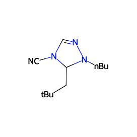 CCCCN1N=CN(C#N)C1CC(C)(C)C